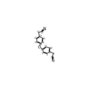 N#CCc1ccc(Oc2ccc(CC#N)cc2)cc1